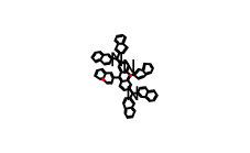 c1ccc2cc(-c3c4ccc(N(c5ccc6ccccc6c5)c5ccc6ccccc6c5)cc4c(-c4ccc5ccccc5c4)c4ncc(N(c5ccc6ccccc6c5)c5ccc6ccccc6c5)cc34)ccc2c1